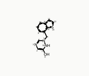 OC1=CN=CN(Cc2cccc3ccsc23)N1